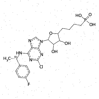 C[C@H](Nc1nc(Cl)nc2c1ncn2C1OC(CCCCP(=O)(O)O)C(O)C1O)c1ccc(F)cc1